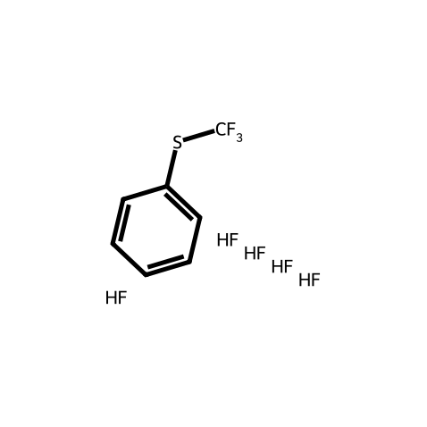 F.F.F.F.F.FC(F)(F)Sc1ccccc1